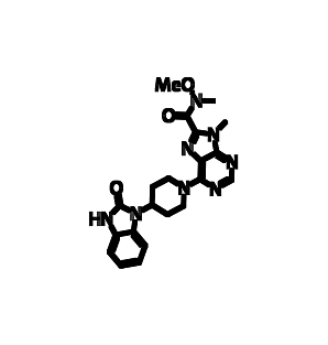 CON(C)C(=O)c1nc2c(N3CCC(n4c(=O)[nH]c5ccccc54)CC3)ncnc2n1C